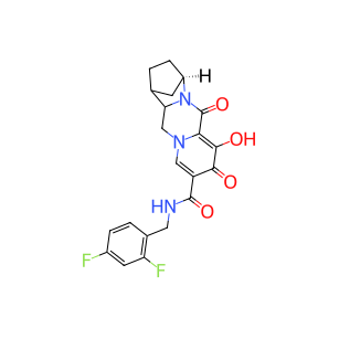 O=C(NCc1ccc(F)cc1F)c1cn2c(c(O)c1=O)C(=O)N1C(C2)C2CC[C@@H]1C2